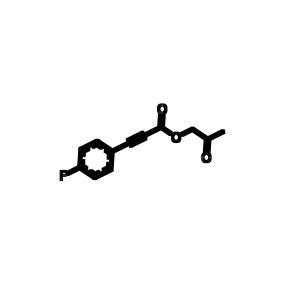 CC(=O)COC(=O)C#Cc1ccc(F)cc1